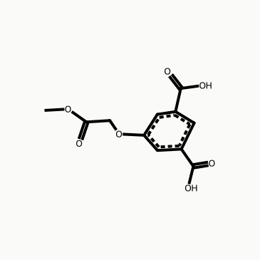 COC(=O)COc1cc(C(=O)O)cc(C(=O)O)c1